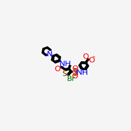 COC(=O)c1ccc(NS(=O)(=O)c2c(Br)sc(C(=O)Nc3ccc(N4CCCCC4)cc3)c2C)cc1